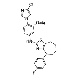 COc1cc(Nc2nc3c(s2)CCCCC3c2ccc(F)cc2)ccc1-n1cnc(Cl)c1